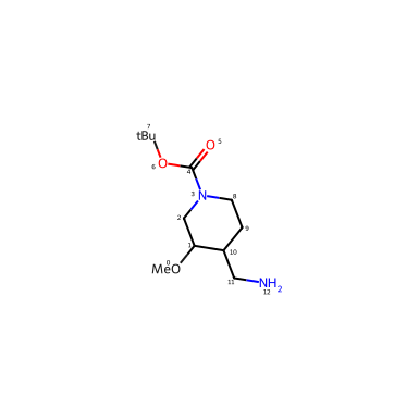 COC1CN(C(=O)OC(C)(C)C)CCC1CN